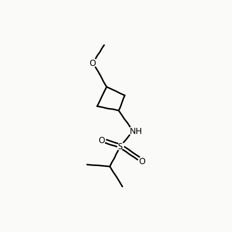 COC1CC(NS(=O)(=O)C(C)C)C1